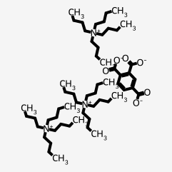 CCCC[N+](CCCC)(CCCC)CCCC.CCCC[N+](CCCC)(CCCC)CCCC.CCCC[N+](CCCC)(CCCC)CCCC.O=C([O-])c1ccc(C(=O)[O-])c(C(=O)[O-])c1